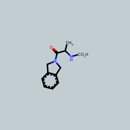 CC(NC(=O)O)C(=O)N1Cc2ccccc2C1